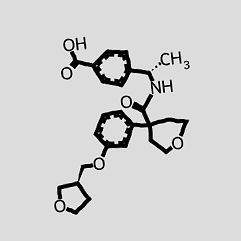 C[C@H](NC(=O)C1(c2cccc(OC[C@H]3CCOC3)c2)CCOCC1)c1ccc(C(=O)O)cc1